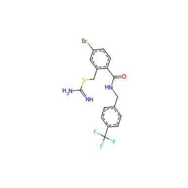 N=C(N)SCc1cc(Br)ccc1C(=O)NCc1ccc(C(F)(F)F)cc1